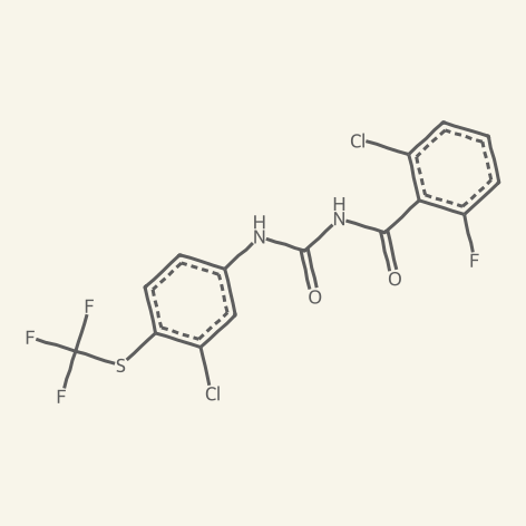 O=C(NC(=O)c1c(F)cccc1Cl)Nc1ccc(SC(F)(F)F)c(Cl)c1